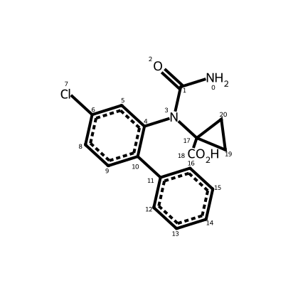 NC(=O)N(c1cc(Cl)ccc1-c1ccccc1)C1(C(=O)O)CC1